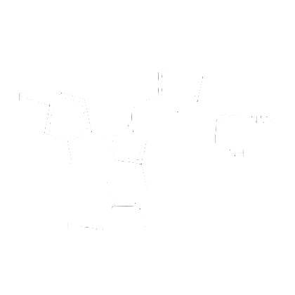 CN/C=C(\C=N)c1cccc([S+]([O-])n2cc(CN(C)C(=O)OC(C)(C)C)cc2-c2ccc(F)cc2F)c1